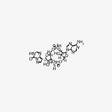 Nc1ncnc2c1ncn2[C@@H]1O[C@@H]2COP(=O)(S)O[C@H]3[C@@H](O)[C@H](c4cnn5c(=O)[nH]cnc45)O[C@@H]3COP(=O)(S)O[C@@H]1[C@@H]2O